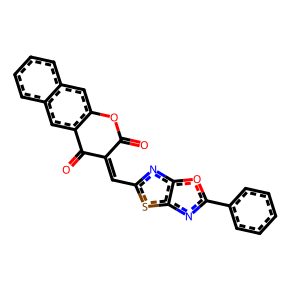 O=C1Oc2cc3ccccc3cc2C(=O)/C1=C/c1nc2oc(-c3ccccc3)nc2s1